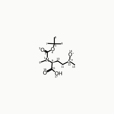 CN(C(=O)OC(C)(C)C)[C@@H](CC[S+](C)[O-])C(=O)O